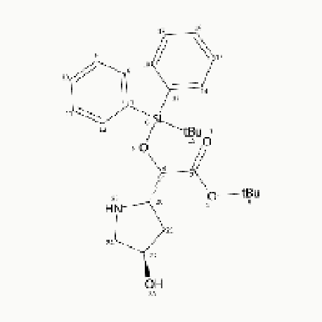 CC(C)(C)OC(=O)C(O[Si](c1ccccc1)(c1ccccc1)C(C)(C)C)[C@@H]1C[C@@H](O)CN1